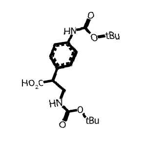 CC(C)(C)OC(=O)NCC(C(=O)O)c1ccc(NC(=O)OC(C)(C)C)cc1